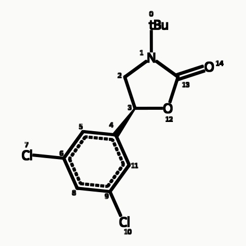 CC(C)(C)N1C[C@H](c2cc(Cl)cc(Cl)c2)OC1=O